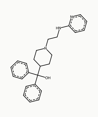 OC(c1ccccc1)(c1ccccc1)C1CCN(CCNc2ccccn2)CC1